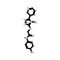 CCC1C=CC(NC(=O)CSc2nnc(C3C=CC=NC3)n2CC)=CC1